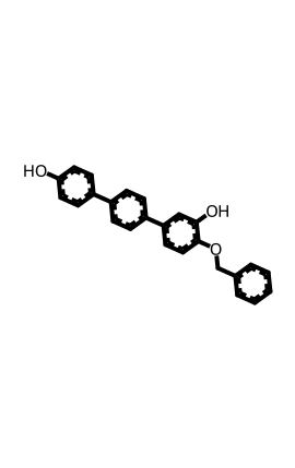 Oc1ccc(-c2ccc(-c3ccc(OCc4ccccc4)c(O)c3)cc2)cc1